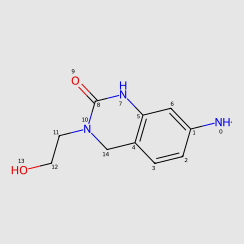 [NH]c1ccc2c(c1)NC(=O)N(CCO)C2